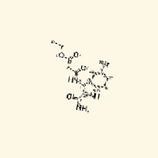 CCOC(=O)CC(=O)Nc1c(C(N)=O)[nH]c2ccc(Br)cc12